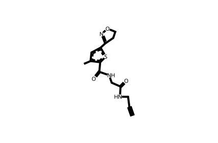 C#CCNC(=O)CNC(=O)c1sc(C2=NOCC2)cc1C